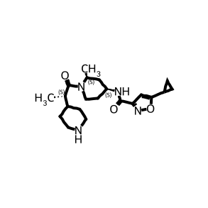 C[C@H](C(=O)N1CC[C@H](NC(=O)c2cc(C3CC3)on2)C[C@@H]1C)C1CCNCC1